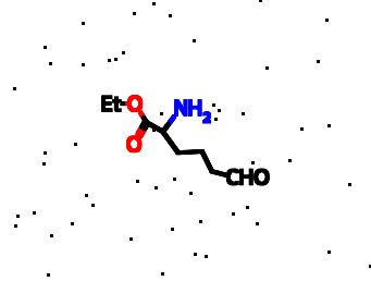 CCOC(=O)C(N)CCCC=O